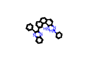 N=C1/C(=N\Nc2ccccc2)C=Cc2ccc3ccc(-c4nc5ccccc5nc4-c4ccccc4)cc3c21